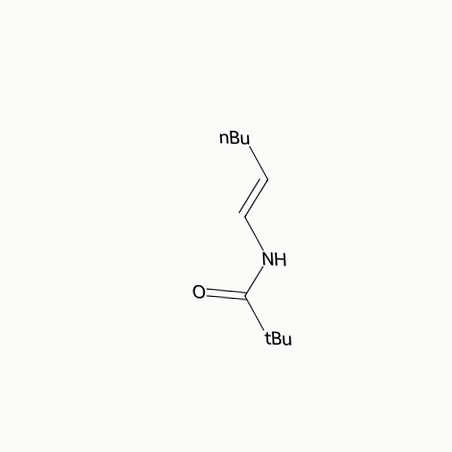 CCCCC=CNC(=O)C(C)(C)C